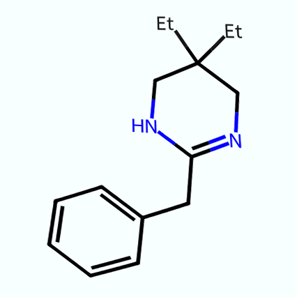 CCC1(CC)CN=C(Cc2ccccc2)NC1